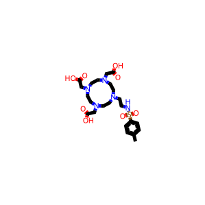 Cc1ccc(S(=O)(=O)NCCN2CCN(CC(=O)O)CCN(CC(=O)O)CCN(CC(=O)O)CC2)cc1